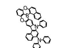 c1ccc(N(c2ccccc2)c2cc3c(c4ccccc24)c2cc4c(cc2n3-c2ccccc2)B2c3c(cccc3Oc3ccc5ccccc5c32)O4)cc1